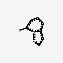 Ic1cccc2ccnn12